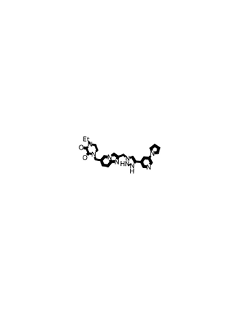 CCN1CCN(Cc2ccc3nc(CN4C=C(c5cncc(-n6cccc6)c5)NN4)cn3c2)C(=O)C1=O